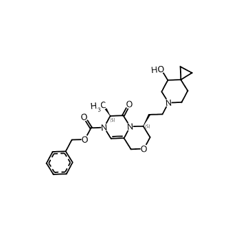 C[C@H]1C(=O)N2C(=CN1C(=O)OCc1ccccc1)COC[C@@H]2CCN1CCC2(CC2)C(O)C1